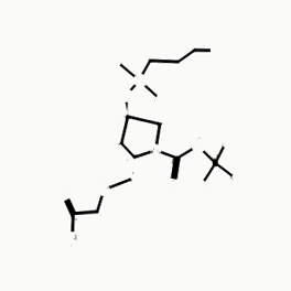 CCCC[Si](C)(C)O[C@@H]1C[C@@H](COCC(N)=O)N(C(=O)OC(C)(C)C)C1